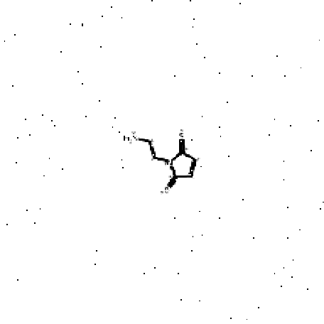 NCCN1C(=O)C=CC1=S